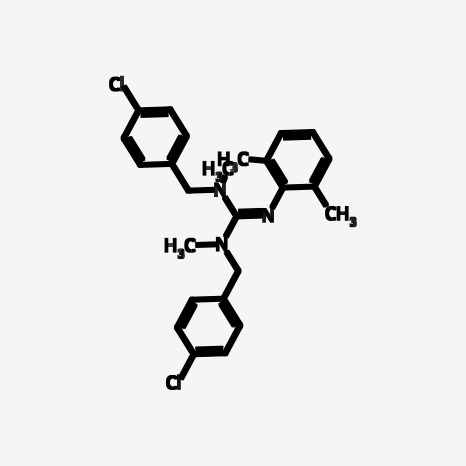 Cc1cccc(C)c1N=C(N(C)Cc1ccc(Cl)cc1)N(C)Cc1ccc(Cl)cc1